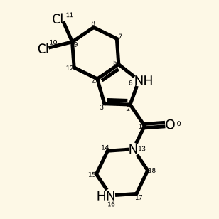 O=C(c1cc2c([nH]1)CCC(Cl)(Cl)C2)N1CCNCC1